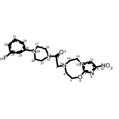 O=C(CN1CCOc2nc([N+](=O)[O-])cn2CC1)N1CCN(c2cccc(F)c2)CC1